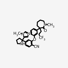 CN1CCCCC(CCC(F)(F)F)(c2cccc(Oc3cc(C4(c5cncn5C)CCCN4)ccc3C#N)c2)C1=O